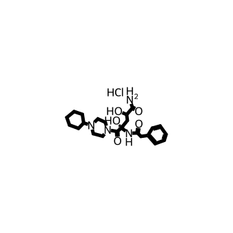 Cl.NC(=O)C(O)C[C@](O)(NC(=O)Cc1ccccc1)C(=O)N1CCN(C2CCCCC2)CC1